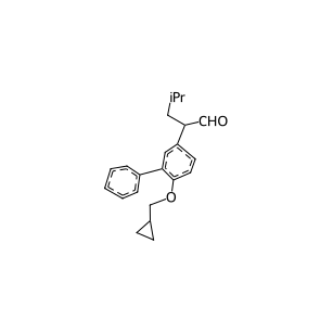 CC(C)CC(C=O)c1ccc(OCC2CC2)c(-c2ccccc2)c1